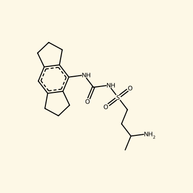 CC(N)CCS(=O)(=O)NC(=O)Nc1c2c(cc3c1CCC3)CCC2